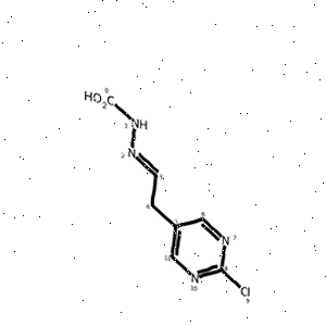 O=C(O)NN=CCc1cnc(Cl)nc1